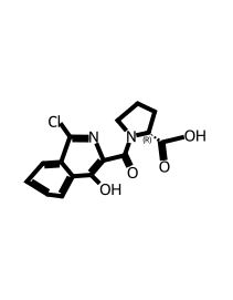 O=C(O)[C@H]1CCCN1C(=O)c1nc(Cl)c2ccccc2c1O